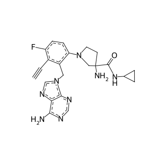 C#Cc1c(F)ccc(N2CCC(N)(C(=O)NC3CC3)C2)c1Cn1cnc2c(N)ncnc21